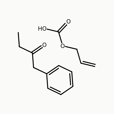 C=CCOC(=O)O.CCC(=O)Cc1ccccc1